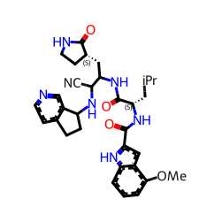 COc1cccc2[nH]c(C(=O)N[C@@H](CC(C)C)C(=O)NC(C[C@@H]3CCNC3=O)C(C#N)NC3CCc4ccncc43)cc12